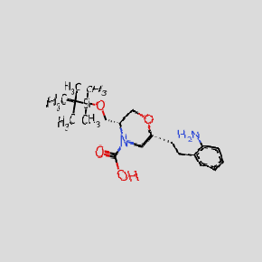 CC(C)(C)[Si](C)(C)OC[C@@H]1CO[C@H](CCc2ccccc2N)CN1C(=O)O